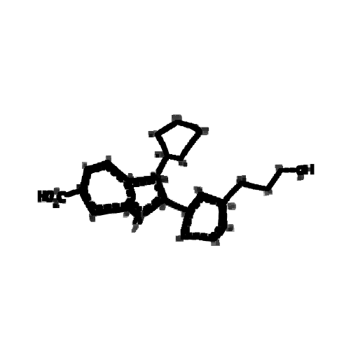 O=C(O)c1ccc2c(c1)nc(-c1cccc(CCCO)c1)n2C1CCCC1